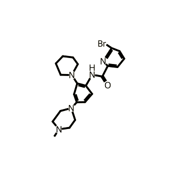 CN1CCN(c2ccc(NC(=O)c3cccc(Br)n3)c(N3CCCCC3)c2)CC1